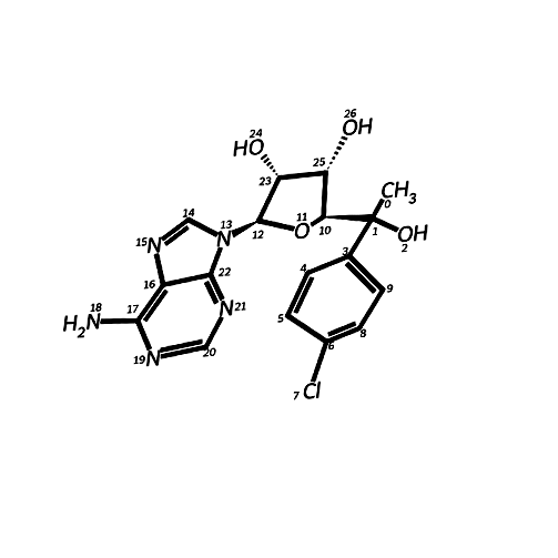 CC(O)(c1ccc(Cl)cc1)[C@H]1O[C@@H](n2cnc3c(N)ncnc32)[C@H](O)[C@@H]1O